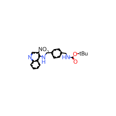 CC(C)(C)OC(=O)NCc1ccc(CNc2c([N+](=O)[O-])cnc3ccccc23)cc1